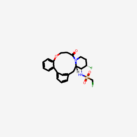 O=C1CCOc2ccccc2-c2cccc(c2)C[C@H]2[C@@H](NS(=O)(=O)CF)[C@@H](F)CCN12